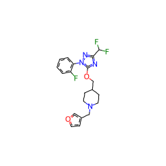 Fc1ccccc1-n1nc(C(F)F)nc1OCC1CCN(Cc2ccoc2)CC1